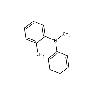 Cc1ccccc1N(C)C1=CCCC=C1